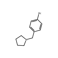 CC(=O)c1ccc(CN2CCCC2)cc1